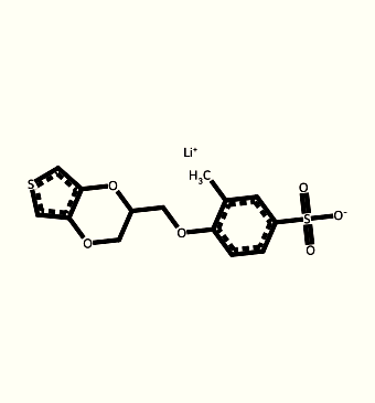 Cc1cc(S(=O)(=O)[O-])ccc1OCC1COc2cscc2O1.[Li+]